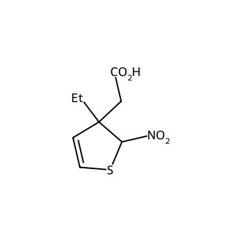 CCC1(CC(=O)O)C=CSC1[N+](=O)[O-]